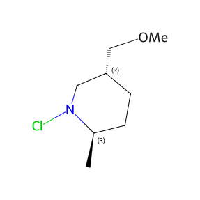 COC[C@@H]1CC[C@@H](C)N(Cl)C1